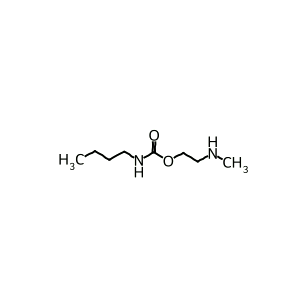 CCCCNC(=O)OCCNC